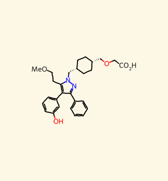 COCCc1c(-c2cccc(O)c2)c(-c2ccccc2)nn1C[C@H]1CC[C@@H](COCC(=O)O)CC1